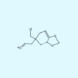 C=CCC1(CCl)CC=C2OCOC2C1